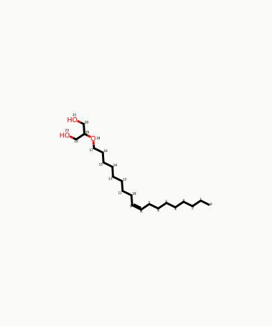 CCCCCCCC/C=C\CCCCCCCCOC(CO)CO